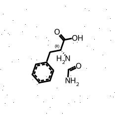 NC=O.N[C@H](Cc1ccccc1)C(=O)O